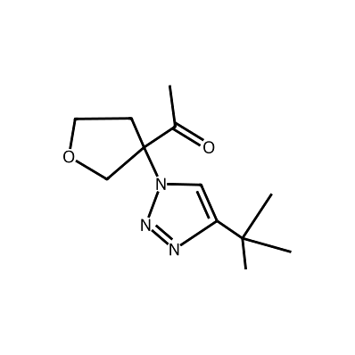 CC(=O)C1(n2cc(C(C)(C)C)nn2)CCOC1